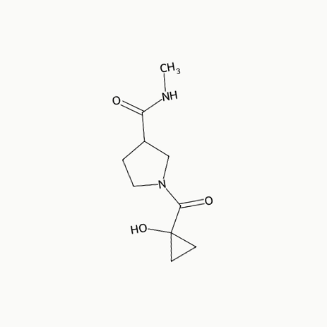 CNC(=O)C1CCN(C(=O)C2(O)CC2)C1